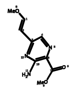 COC=Cc1cnc(C(=O)OC)c(N)n1